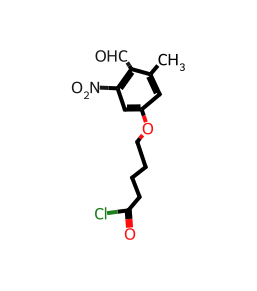 Cc1cc(OCCCCC(=O)Cl)cc([N+](=O)[O-])c1C=O